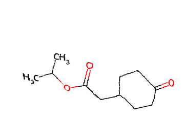 CC(C)OC(=O)CC1CCC(=O)CC1